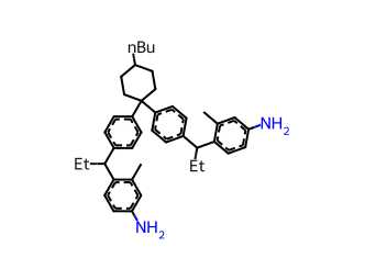 CCCCC1CCC(c2ccc(C(CC)c3ccc(N)cc3C)cc2)(c2ccc(C(CC)c3ccc(N)cc3C)cc2)CC1